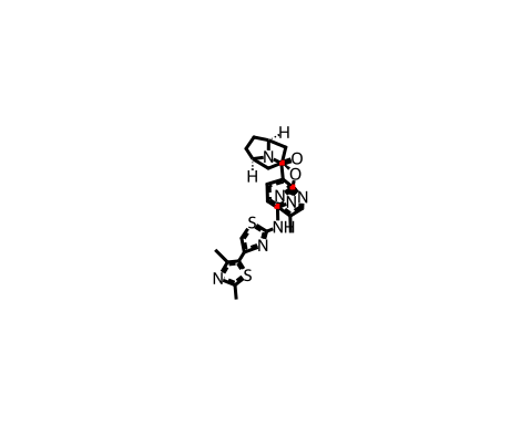 Cc1cnc(O[C@H]2C[C@H]3CC[C@@H](C2)N3C(=O)c2ccc(Nc3nc(-c4sc(C)nc4C)cs3)nc2)nc1